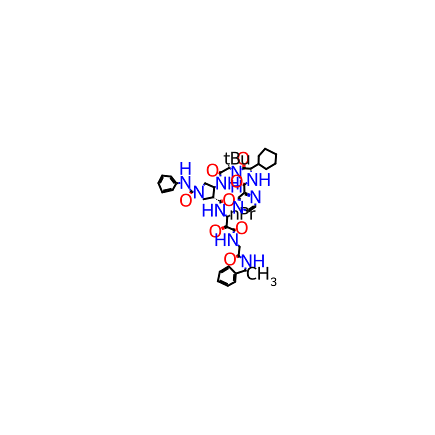 CCC[C@H](NC(=O)[C@@H]1CN(C(=O)Nc2ccccc2)C[C@@H]1NC(=O)[C@@H](NC(=O)[C@@H](NC(=O)c1cnccn1)C1CCCCC1)C(C)(C)C)C(=O)C(=O)NCC(=O)N[C@H](C)c1ccccc1